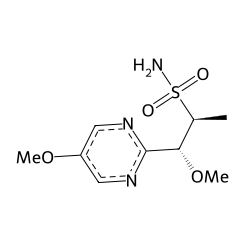 COc1cnc([C@@H](OC)[C@H](C)S(N)(=O)=O)nc1